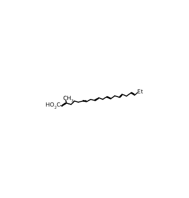 CC/C=C/C/C=C/C/C=C/C/C=C/C/C=C/CCC/C(C)=C/C(=O)O